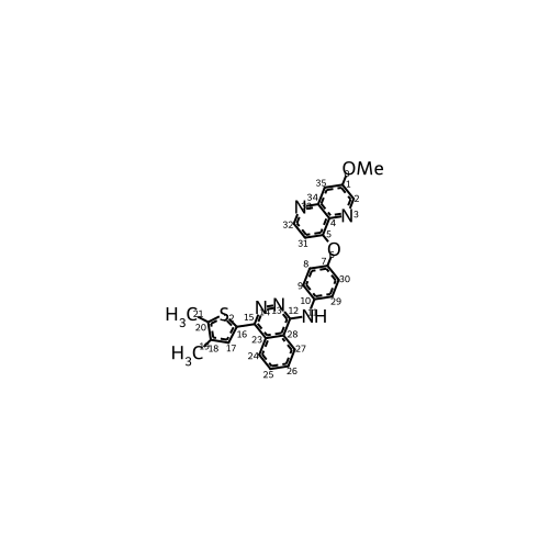 COc1cnc2c(Oc3ccc(Nc4nnc(-c5cc(C)c(C)s5)c5ccccc45)cc3)ccnc2c1